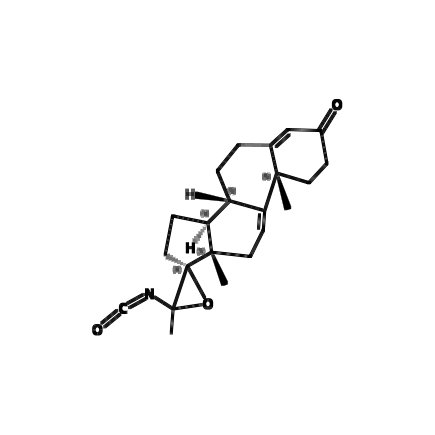 CC1(N=C=O)O[C@@]12CC[C@H]1[C@@H]3CCC4=CC(=O)CC[C@]4(C)C3=CC[C@@]12C